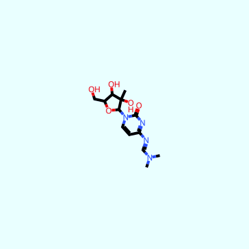 CN(C)C=Nc1ccn(C2OC(CO)C(O)C2(C)O)c(=O)n1